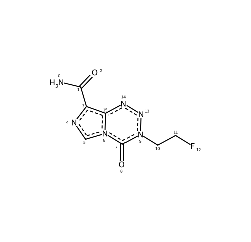 NC(=O)c1ncn2c(=O)n(CCF)nnc12